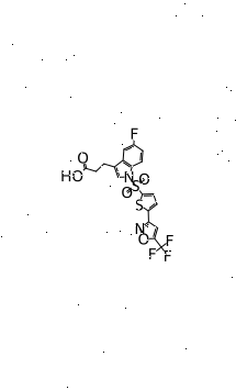 O=C(O)CCc1cn(S(=O)(=O)c2ccc(-c3cc(C(F)(F)F)on3)s2)c2ccc(F)cc12